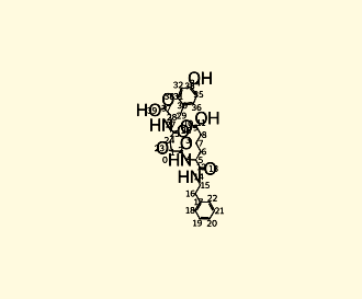 C[C@]1(C(=O)N[C@@H](CCCC(=O)O)C(=O)NCCc2ccccc2)O[C@@H]1C(=O)N[C@@H](Cc1ccc(O)cc1)C(=O)O